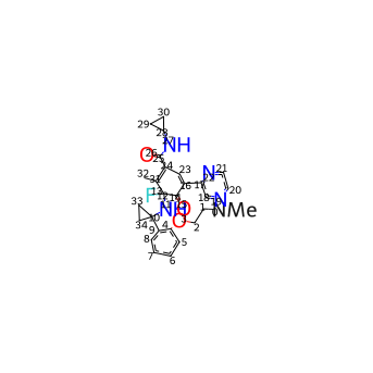 CNCCOc1ccccc1C1(NC2(F)C(=O)C(c3cnccn3)=CC(C(=O)NC3CC3)=C2C)CC1